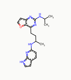 CC(C)Nc1nc(CCC(C)Nc2ccc3cc[nH]c3n2)c2occc2n1